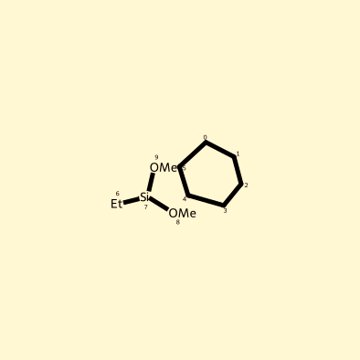 C1CCCCC1.CC[Si](OC)OC